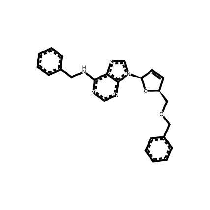 C1=C[C@H](n2cnc3c(NCc4ccccc4)ncnc32)O[C@@H]1COCc1ccccc1